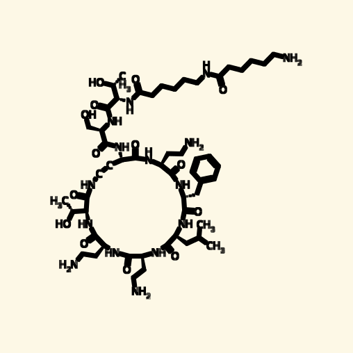 CC(C)C[C@@H]1NC(=O)[C@@H](Cc2ccccc2)NC(=O)[C@H](CCN)NC(=O)[C@@H](NC(=O)[C@@H](CO)NC(=O)[C@@H](NC(=O)CCCCCNC(=O)CCCCCN)[C@@H](C)O)CCNC(=O)[C@H]([C@@H](C)O)NC(=O)[C@H](CCN)NC(=O)[C@H](CCN)NC1=O